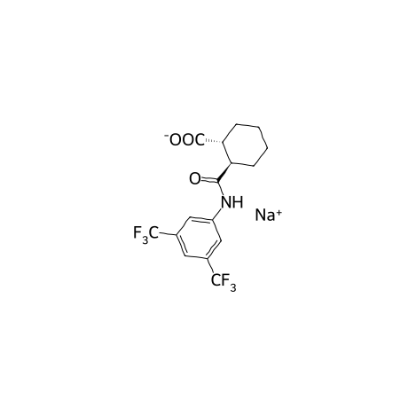 O=C([O-])[C@@H]1CCCC[C@H]1C(=O)Nc1cc(C(F)(F)F)cc(C(F)(F)F)c1.[Na+]